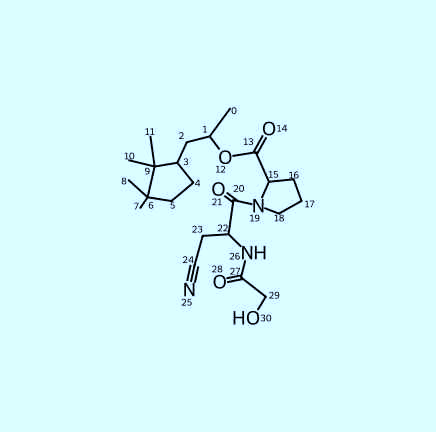 CC(CC1CCC(C)(C)C1(C)C)OC(=O)C1CCCN1C(=O)C(CC#N)NC(=O)CO